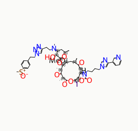 CO[C@]1(C)C[C@@H](C)C(=O)[C@H](C)[C@H]2N(CCCCn3cnc(-c4cccnc4)c3)C(=O)O[C@]2(C)[C@@H](I)OC(=O)[C@H](C)C(=O)[C@H](C)[C@H]1O[C@@H]1O[C@H](C)C[C@H](N(C)CCc2cn(CCc3ccc([S+](C)[O-])cc3)nn2)[C@H]1O